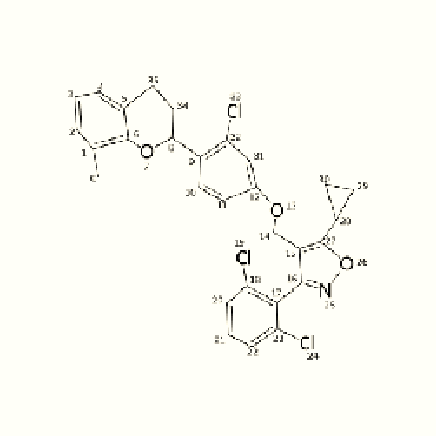 Cc1cccc2c1OC(c1ccc(OCc3c(-c4c(Cl)cccc4Cl)noc3C3CC3)cc1Cl)CC2